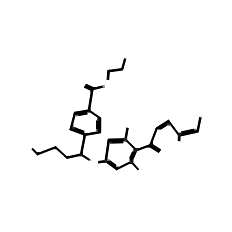 C=C(/C=C\C(=C/C)C(C)(C)C)c1c(C)cc(SC(CCCC(F)(F)F)c2ccc(C(=O)NCCC(=O)O)cc2)cc1C